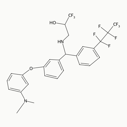 CN(C)c1cccc(Oc2cccc(C(NCC(O)C(F)(F)F)c3cccc(C(F)(F)C(F)(F)C(F)(F)F)c3)c2)c1